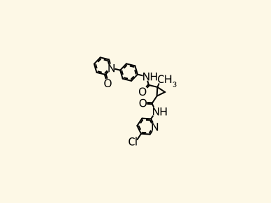 CC1(C(=O)Nc2ccc(-n3ccccc3=O)cc2)CC1C(=O)Nc1ccc(Cl)cn1